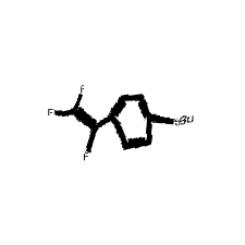 CC(C)(C)c1ccc(C(F)=C(F)F)cc1